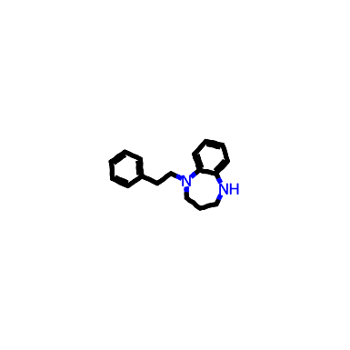 c1ccc(CCN2CCCNc3ccccc32)cc1